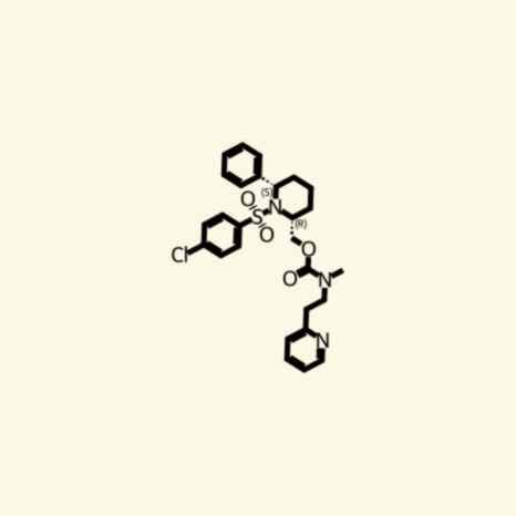 CN(CCc1ccccn1)C(=O)OC[C@H]1CCC[C@@H](c2ccccc2)N1S(=O)(=O)c1ccc(Cl)cc1